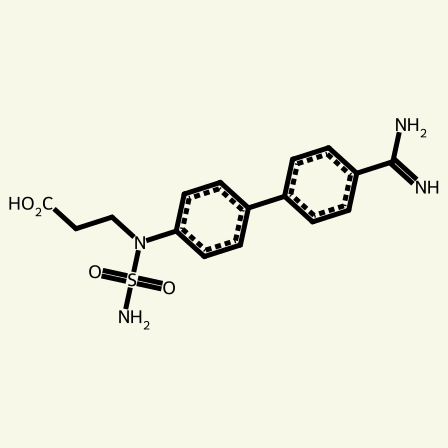 N=C(N)c1ccc(-c2ccc(N(CCC(=O)O)S(N)(=O)=O)cc2)cc1